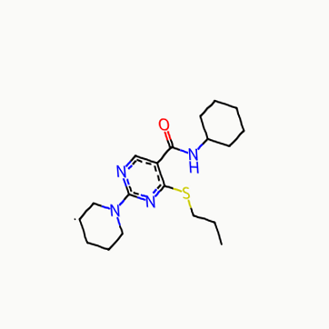 CCCSc1nc(N2C[CH]CCC2)ncc1C(=O)NC1CCCCC1